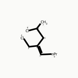 CCC/C=C(/CCl)CC(C)Cl